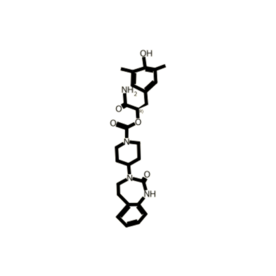 Cc1cc(C[C@@H](OC(=O)N2CCC(N3CCc4ccccc4NC3=O)CC2)C(N)=O)cc(C)c1O